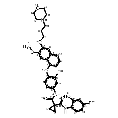 COc1cc2c(Oc3ccc(NC(=O)C4(C(=O)Nc5ccc(F)cc5O)CC4)cc3F)ccnc2cc1OCCCN1CCOCC1